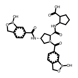 O=C(N[C@@H]1C[C@@H](C(=O)NC2CCCC2C(=O)O)N(C(=O)c2ccc3c(c2)B(O)OC3)C1)c1ccc2c(c1)B(O)OC2